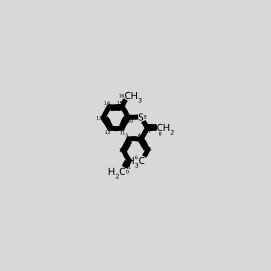 C=C/C=C\C(=C/C)C(=C)Sc1ccccc1C